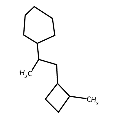 [CH2]C(CC1CCC1C)C1CCCCC1